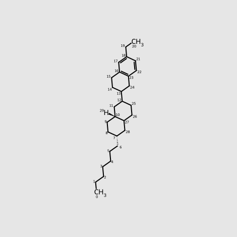 CCCCCCC[C@@H]1CC[C@@H]2CC(C3CCc4cc(CC)ccc4C3)CCC2C1